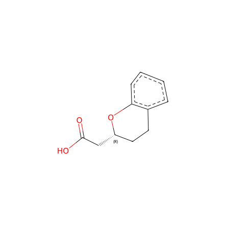 O=C(O)C[C@H]1CCc2ccccc2O1